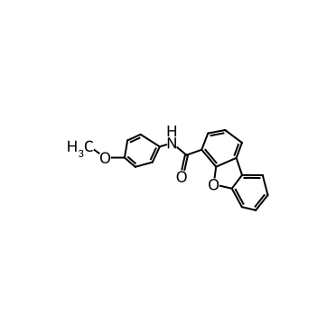 COc1ccc(NC(=O)c2cccc3c2oc2ccccc23)cc1